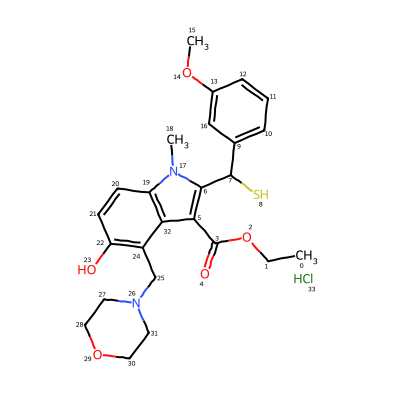 CCOC(=O)c1c(C(S)c2cccc(OC)c2)n(C)c2ccc(O)c(CN3CCOCC3)c12.Cl